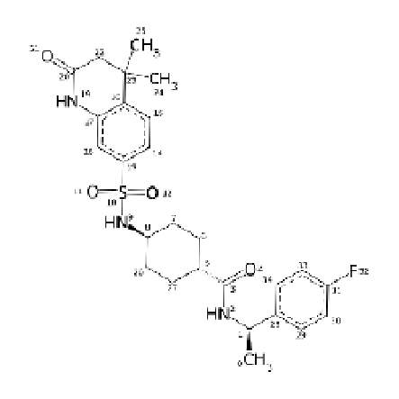 C[C@@H](NC(=O)[C@H]1CC[C@H](NS(=O)(=O)c2ccc3c(c2)NC(=O)CC3(C)C)CC1)c1ccc(F)cc1